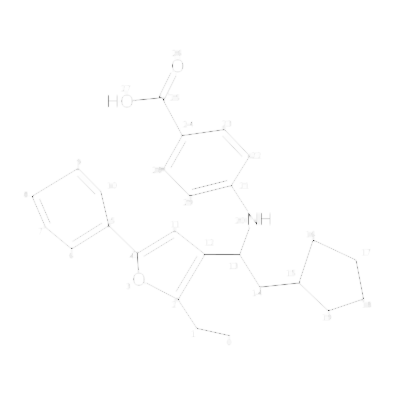 CCc1oc(-c2ccccc2)cc1C(CC1CCCC1)Nc1ccc(C(=O)O)cc1